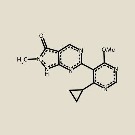 COc1ncnc(C2CC2)c1-c1ncc2c(=O)n(C)[nH]c2n1